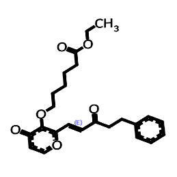 CCOC(=O)CCCCCOc1c(/C=C/C(=O)CCc2ccccc2)occc1=O